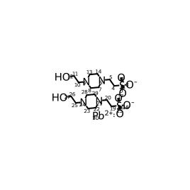 O=S(=O)([O-])CCN1CCN(CCO)CC1.O=S(=O)([O-])CCN1CCN(CCO)CC1.[Pb+2]